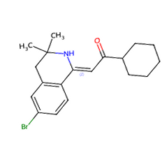 CC1(C)Cc2cc(Br)ccc2/C(=C/C(=O)C2CCCCC2)N1